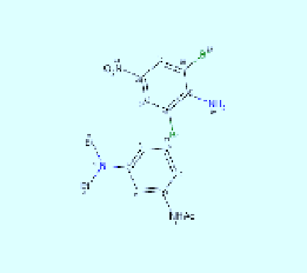 CCN(CC)c1cccc(NC(C)=O)c1.Nc1c(Br)cc([N+](=O)[O-])cc1Br